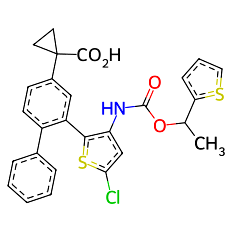 CC(OC(=O)Nc1cc(Cl)sc1-c1cc(C2(C(=O)O)CC2)ccc1-c1ccccc1)c1cccs1